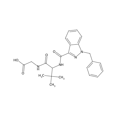 CC(C)(C)C(NC(=O)c1nn(Cc2ccccc2)c2ccccc12)C(=O)NCC(=O)O